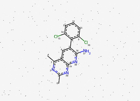 Cc1nc(C)c2cc(-c3c(Cl)cccc3Cl)c(N)nc2n1